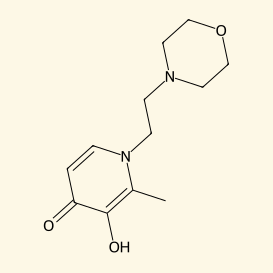 Cc1c(O)c(=O)ccn1CCN1CCOCC1